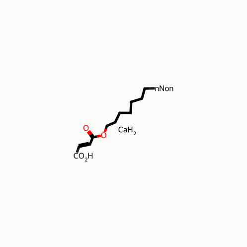 CCCCCCCCCCCCCCCCOC(=O)/C=C/C(=O)O.[CaH2]